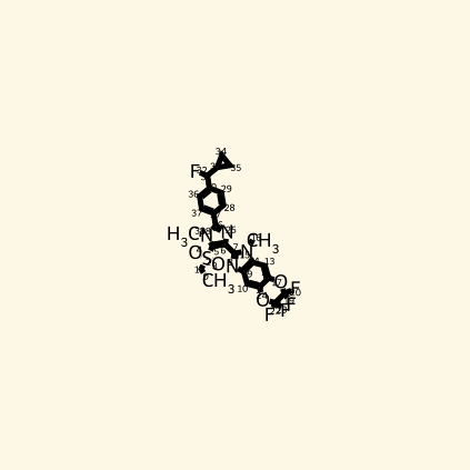 CCS(=O)(=O)c1c(-c2nc3cc4c(cc3n2C)OC(F)(F)C(F)(F)O4)nc(-c2ccc(C(F)C3CC3)cc2)n1C